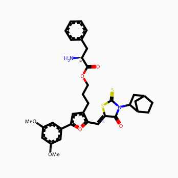 COc1cc(OC)cc(-c2cc(CCCOC(=O)[C@@H](N)Cc3ccccc3)c(/C=C3\SC(=S)N(C4CC5CCC4C5)C3=O)o2)c1